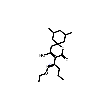 CCC/C(=N\OCC)C1=C(O)CC2(CC(C)CC(C)C2)OC1=O